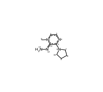 Cn1ccnc(N2CCCC2)/c1=N/N